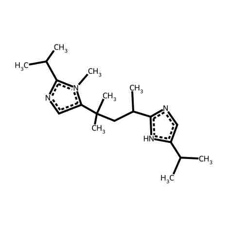 CC(C)c1cnc(C(C)CC(C)(C)c2cnc(C(C)C)n2C)[nH]1